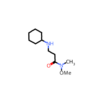 CON(C)C(=O)CCNC1CCCCC1